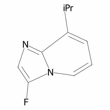 CC(C)c1cccn2c(F)cnc12